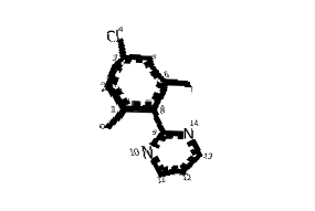 Cc1cc(Cl)cc(C)c1-c1ncccn1